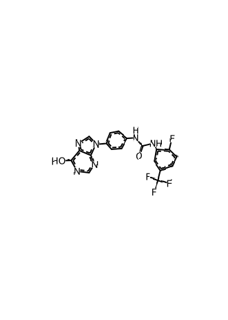 O=C(Nc1ccc(-n2cnc3c(O)ncnc32)cc1)Nc1cc(C(F)(F)F)ccc1F